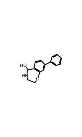 OC1NCCOc2cc(-c3ccccc3)ccc21